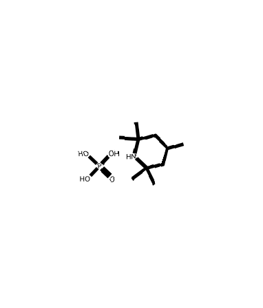 CC1CC(C)(C)NC(C)(C)C1.O=P(O)(O)O